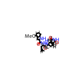 COc1cccc2[nH]c(C(=O)NC(CC3CC3)C(=O)NC3(C#N)C[C@H]4CCC3[C@H]3C(=O)NC(=O)[C@@H]43)cc12